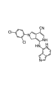 N#CC1=CNC(Nc2[nH]ccc3cncc2-3)=C2CN(c3ccc(Cl)cc3Cl)C=C12